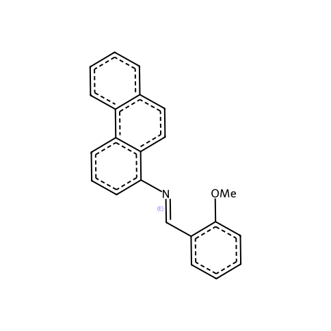 COc1ccccc1/C=N/c1cccc2c1ccc1ccccc12